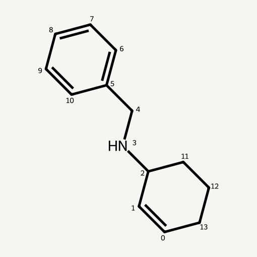 C1=CC(NCc2ccccc2)CCC1